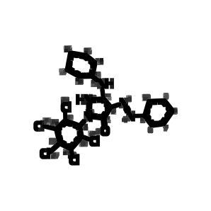 O=c1c(N=Nc2ccccc2)c(Nc2ccccc2)[nH]n1-c1c(Cl)c(Cl)c(Cl)c(Cl)c1Cl